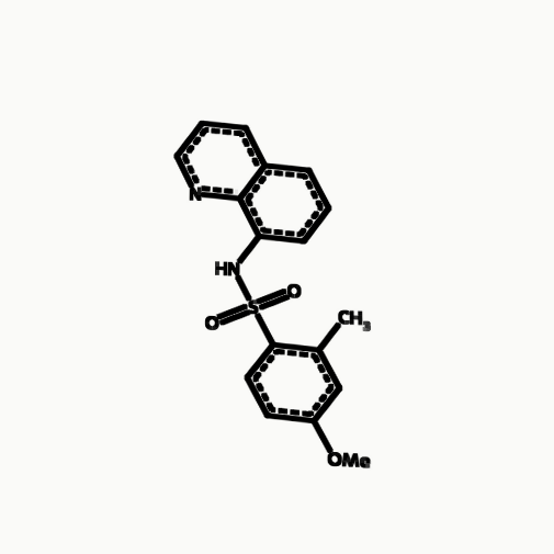 COc1ccc(S(=O)(=O)Nc2cccc3cccnc23)c(C)c1